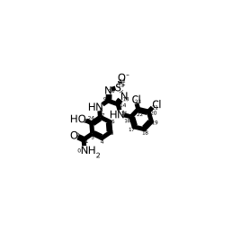 NC(=O)c1cccc(Nc2n[s+]([O-])nc2Nc2cccc(Cl)c2Cl)c1O